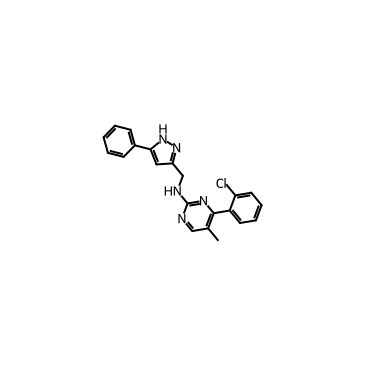 Cc1cnc(NCc2cc(-c3ccccc3)[nH]n2)nc1-c1ccccc1Cl